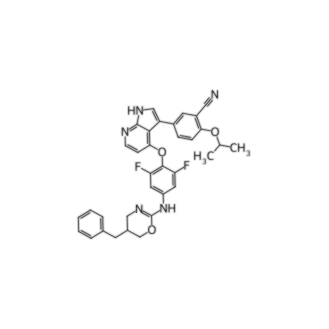 CC(C)Oc1ccc(-c2c[nH]c3nccc(Oc4c(F)cc(NC5=NCC(Cc6ccccc6)CO5)cc4F)c23)cc1C#N